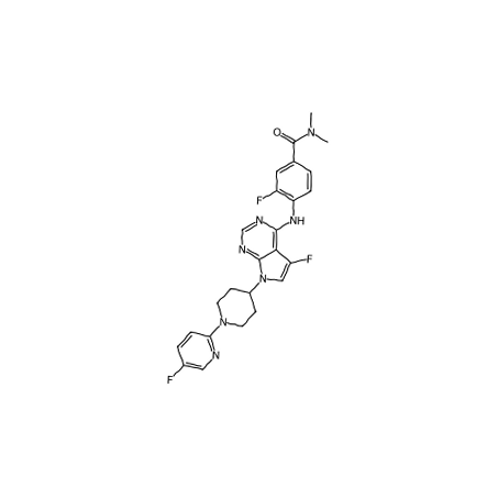 CN(C)C(=O)c1ccc(Nc2ncnc3c2c(F)cn3C2CCN(c3ccc(F)cn3)CC2)c(F)c1